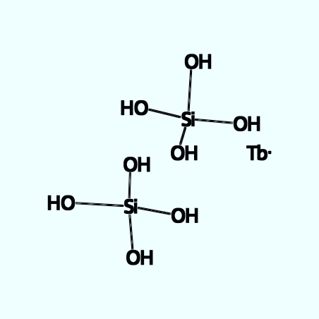 O[Si](O)(O)O.O[Si](O)(O)O.[Tb]